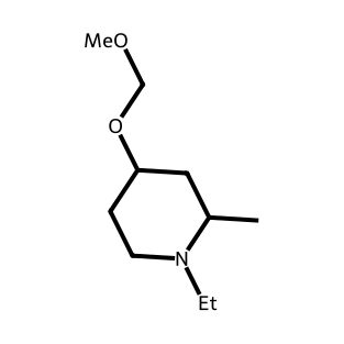 CCN1CCC(OCOC)CC1C